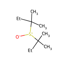 CCC(C)(C)[S+]([O-])C(C)(C)CC